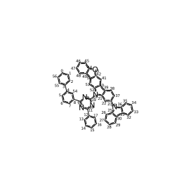 c1ccc(-c2cccc(-c3nc(-c4ccccc4)nc(-n4c5cc(-n6c7ccccc7c7ccccc76)ccc5c5cc6oc7ccccc7c6cc54)n3)c2)cc1